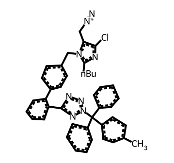 CCCCc1nc(Cl)c(C[N+]#N)n1Cc1ccc(-c2ccccc2-c2nnn(C(c3ccccc3)(c3ccccc3)c3ccc(C)cc3)n2)cc1